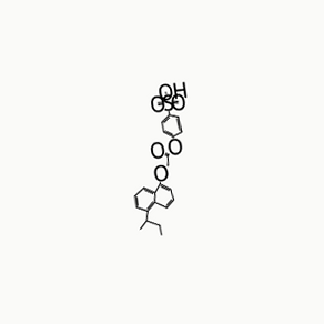 CCC(C)c1cccc2c(OCC(=O)Oc3ccc(S(=O)(=O)O)cc3)cccc12